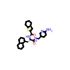 Nc1ccc(CNC(=O)[C@H](Cc2cccc3ccccc23)NC(=O)c2cc3ccccc3s2)cn1